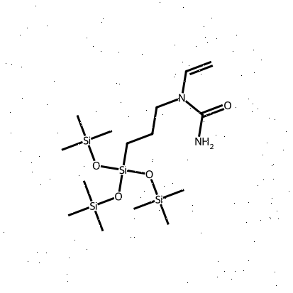 C=CN(CCC[Si](O[Si](C)(C)C)(O[Si](C)(C)C)O[Si](C)(C)C)C(N)=O